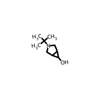 CC(C)(C)N1CC2C(O)C2C1